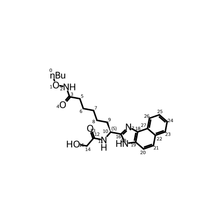 CCCCONC(=O)CCCCC[C@H](NC(=O)CO)c1nc2c(ccc3ccccc32)[nH]1